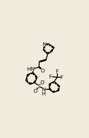 O=C(C=Cc1cccnc1)Nc1cccc(S(=O)(=O)Nc2cccc(C(F)(F)F)c2)c1